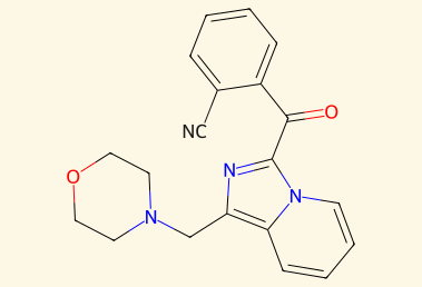 N#Cc1ccccc1C(=O)c1nc(CN2CCOCC2)c2ccccn12